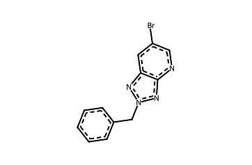 Brc1cnc2nn(Cc3ccccc3)nc2c1